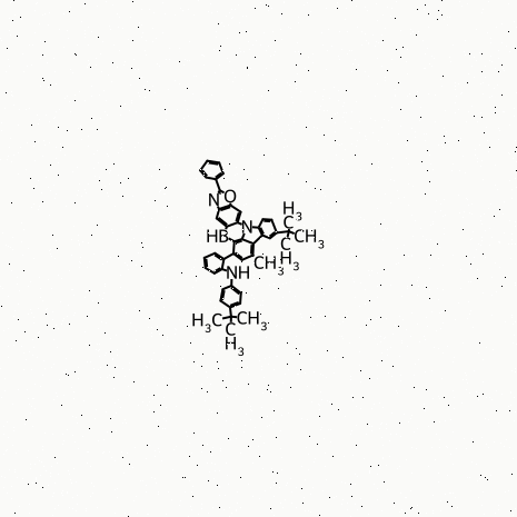 Cc1cc(-c2ccccc2Nc2ccc(C(C)(C)C)cc2)c2c3c1c1cc(C(C)(C)C)ccc1n3-c1cc3oc(-c4ccccc4)nc3cc1B2